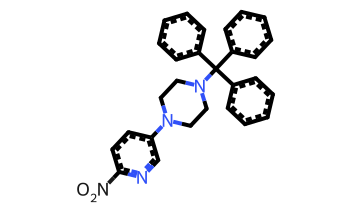 O=[N+]([O-])c1ccc(N2CCN(C(c3ccccc3)(c3ccccc3)c3ccccc3)CC2)cn1